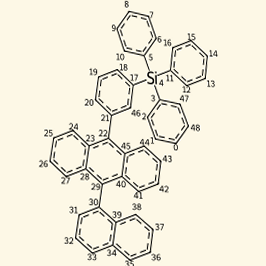 c1ccc([Si](c2ccccc2)(c2ccccc2)c2cccc(-c3c4ccccc4c(-c4cccc5ccccc45)c4ccccc34)c2)cc1